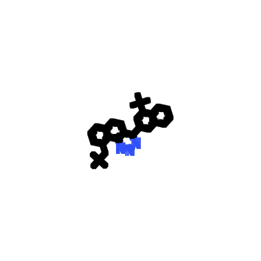 CC(C)(C)Cc1cccc2ccc3c(-c4cc(C(C)(C)C)c5ccccc5c4)nnnc3c12